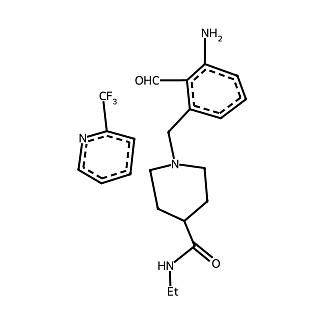 CCNC(=O)C1CCN(Cc2cccc(N)c2C=O)CC1.FC(F)(F)c1ccccn1